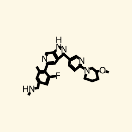 CNCc1cc(C)c(-c2cc3c(-c4ccc(N5CCCC(OC)C5)nc4)n[nH]c3cn2)c(F)c1